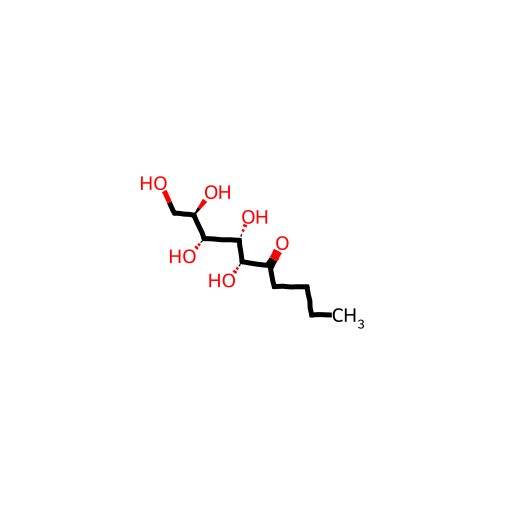 CCCCC(=O)[C@H](O)[C@@H](O)[C@H](O)[C@H](O)CO